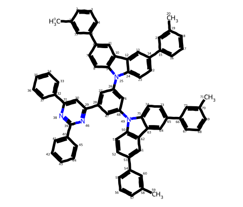 Cc1cccc(-c2ccc3c(c2)c2cc(-c4cccc(C)c4)ccc2n3-c2cc(-c3cc(-c4ccccc4)nc(-c4ccccc4)n3)cc(-n3c4ccc(-c5cccc(C)c5)cc4c4cc(-c5cccc(C)c5)ccc43)c2)c1